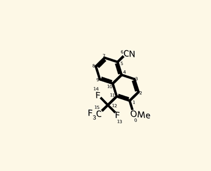 COc1ccc2c(C#N)cccc2c1C(F)(F)C(F)(F)F